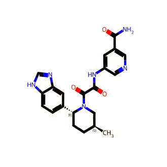 C[C@H]1CC[C@H](c2ccc3[nH]cnc3c2)N(C(=O)C(=O)Nc2cncc(C(N)=O)c2)C1